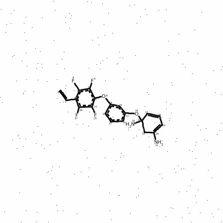 C=Cc1c(F)c(F)c(Oc2cccc(OC3(N)C=CC=C(N)C3)c2)c(F)c1F